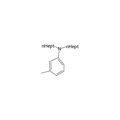 CCCCCCCN(CCCCCCC)c1cccc(C)c1